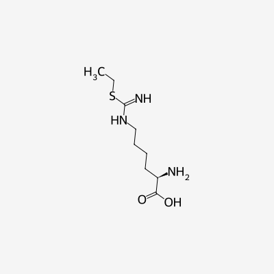 CCSC(=N)NCCCC[C@@H](N)C(=O)O